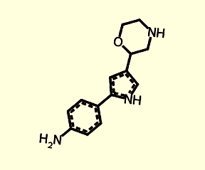 Nc1ccc(-c2cc(C3CNCCO3)c[nH]2)cc1